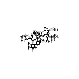 CCCC(C)C[PH2+]CC(C)CCC(CC)CCC.CCCCC(CC)CC[B-](CCC(CC)CCCC)(CCC(CC)CCCC)CCC(CC)CCCC.Fc1ccc(-c2c(F)c(F)c(F)c(F)c2F)c(F)c1F